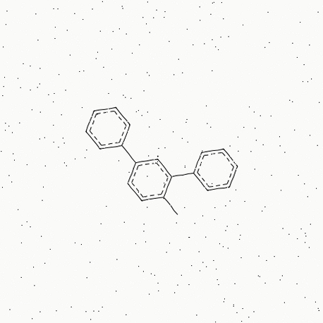 Cc1ccc(-c2ccccc2)[c]c1-c1ccccc1